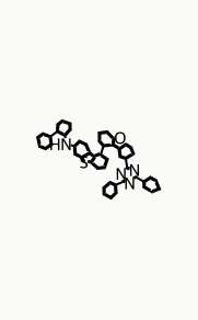 c1ccc(-c2nc(-c3ccccc3)nc(-c3ccc4oc5cccc(-c6cccc7sc8cc(Nc9ccccc9-c9ccccc9)ccc8c67)c5c4c3)n2)cc1